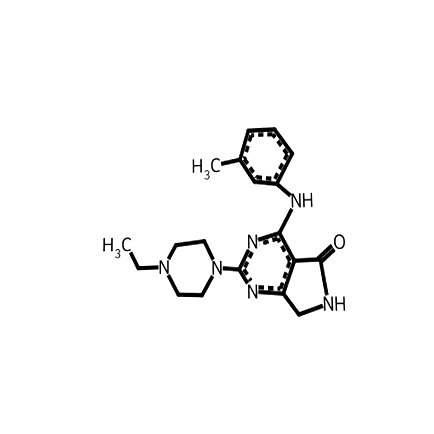 CCN1CCN(c2nc3c(c(Nc4cccc(C)c4)n2)C(=O)NC3)CC1